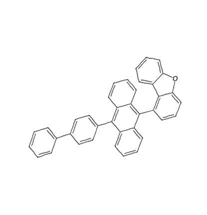 c1ccc(-c2ccc(-c3c4ccccc4c(-c4cccc5oc6ccccc6c45)c4ccccc34)cc2)cc1